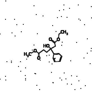 CCOC(=O)CC(O)(CCC(=O)OC)c1ccccc1